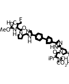 COC(=O)N[C@H](C(=O)N1CCCC1c1ncc(-c2ccc(-c3ccc(-c4cnc([C@@H]5C[C@H](F)CN5C(=O)[C@H](C(C)C)N(C)C(=O)O)[nH]4)cc3)cc2)[nH]1)C(C)CF